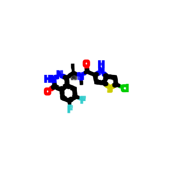 C[C@H](c1n[nH]c(=O)c2cc(F)c(F)cc12)N(C)C(=O)c1cc2sc(Cl)cc2[nH]1